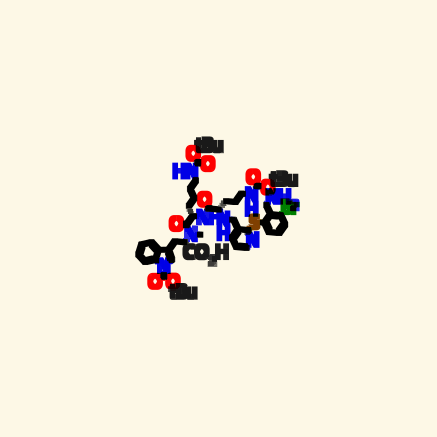 CN(C(=O)[C@H](CCCCNC(=O)OC(C)(C)C)NC(=O)[C@H](CCCNC(=O)OC(C)(C)C)NCc1cccnc1Sc1cccc(Br)c1CN)[C@@H](Cc1cn(C(=O)OC(C)(C)C)c2ccccc12)C(=O)O